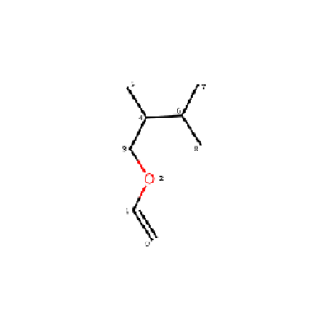 C=COCC(C)C(C)C